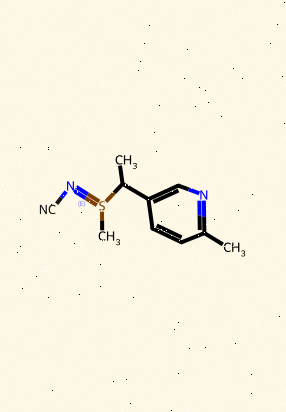 Cc1ccc(C(C)/S(C)=N/C#N)cn1